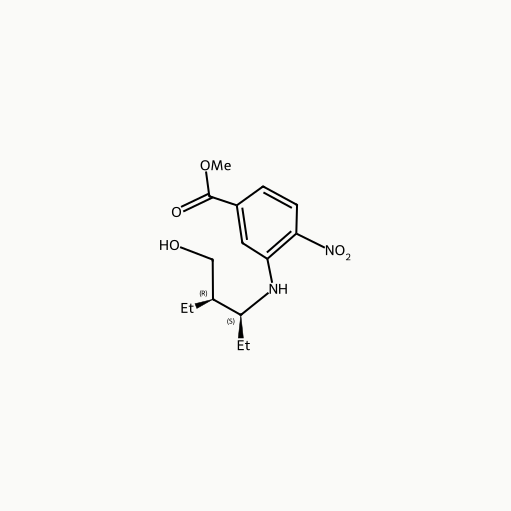 CC[C@@H](CO)[C@H](CC)Nc1cc(C(=O)OC)ccc1[N+](=O)[O-]